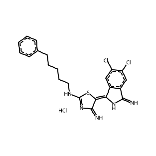 Cl.N=C1N=C(NCCCCCc2ccccc2)S/C1=C1/NC(=N)c2cc(Cl)c(Cl)cc21